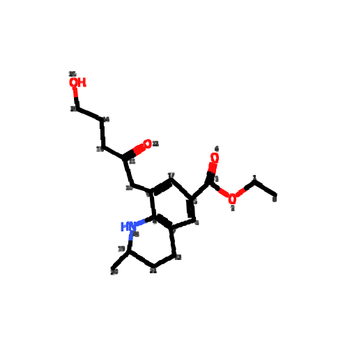 CCOC(=O)c1cc2c(c(CC(=O)CCCO)c1)NC(C)CC2